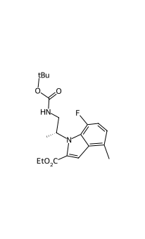 CCOC(=O)c1cc2c(C)ccc(F)c2n1[C@H](C)CNC(=O)OC(C)(C)C